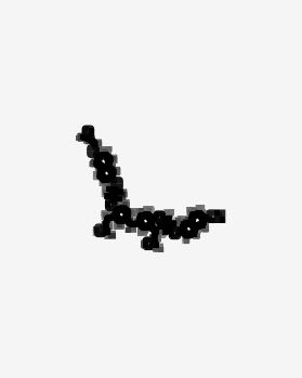 CC(C)(Oc1ccc2cc(C#N)ccc2c1)C(C)(C)Oc1ccc(Cc2ccc(OC(C)(C)C(C)(C)Oc3ccc4cc(OCC5CO5)ccc4c3)c(CC3CO3)c2)cc1CC1CO1